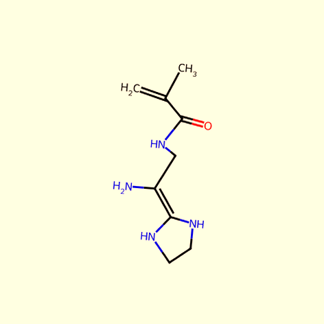 C=C(C)C(=O)NCC(N)=C1NCCN1